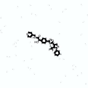 O=C(NCc1ccncc1)[C@H](O)c1ccc(-c2noc(-c3cnn(-c4ccccc4)c3C(F)(F)F)n2)cc1